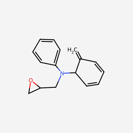 C=C1C=CC=CC1N(CC1CO1)c1ccccc1